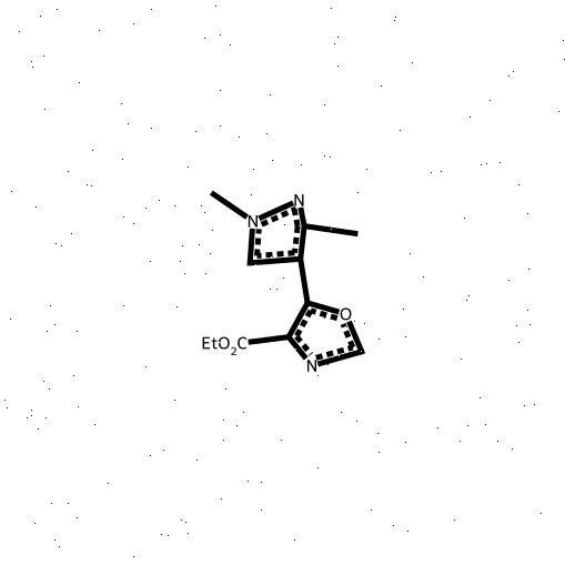 CCOC(=O)c1ncoc1-c1cn(C)nc1C